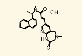 C[C@H](c1cccc2ccccc12)N(C)C(=O)/C=C/c1cnc2c(c1)CN(C)CC(=O)N2.Cl